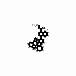 C=C/C=C(\N)c1ccc(-c2ccc3c(c2)C2(C4=C3C=CCCC4)c3ccccc3-c3cccc4cccc2c34)c2ccccc12